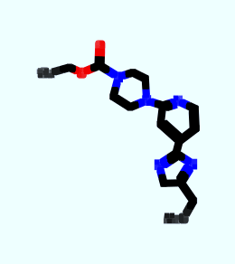 COCC1=NC(c2ccnc(N3CCN(C(=O)OCC(C)(C)C)CC3)c2)=NC1